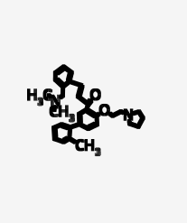 Cc1ccccc1-c1ccc(OCCN2CCCC2)c(C(=O)/C=C/c2ccccc2CN(C)C)c1